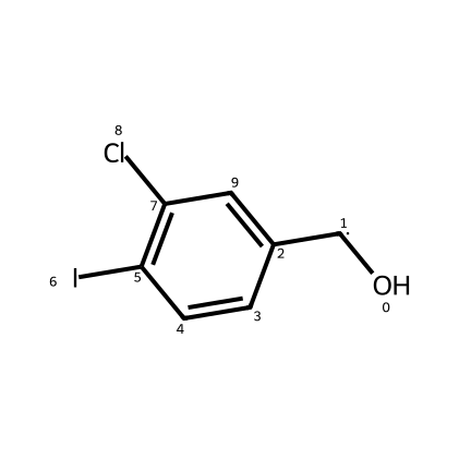 O[CH]c1ccc(I)c(Cl)c1